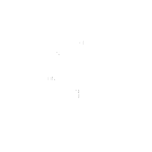 CCC1=C(C)C2=C(Cl)N=CNC2N1